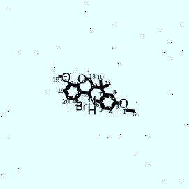 CCOc1ccc2c(c1)C(C)(C)C1COc3c(OC)ccc(Br)c3C1N2